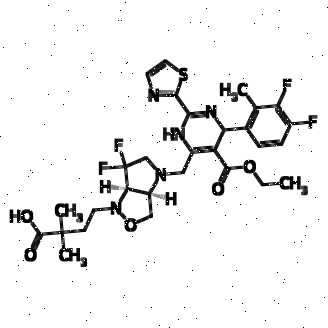 CCOC(=O)C1=C(CN2CC(F)(F)[C@H]3[C@@H]2CON3CCC(C)(C)C(=O)O)NC(c2nccs2)=NC1c1ccc(F)c(F)c1C